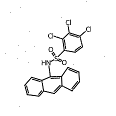 O=S(=O)(Nc1c2ccccc2cc2ccccc12)c1ccc(Cl)c(Cl)c1Cl